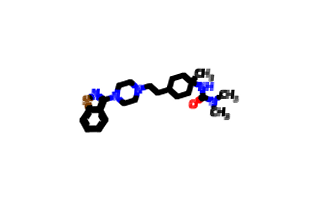 CN(C)C(=O)NC1(C)CCC(CCN2CCN(c3nsc4ccccc34)CC2)CC1